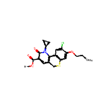 COCCOc1cc2c(cc1Cl)-c1c(cc(C(=O)OC(C)C)c(=O)n1C1CC1)CS2